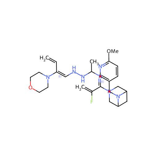 C=C/C(=C\NNC(C)/N=C(\C(=C)F)N1CC2CC(C1)N2Cc1ccc(OC)nc1)N1CCOCC1